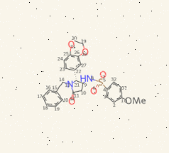 COc1ccc(S(=O)(=O)N[C@H]2CC(=O)N(Cc3ccccc3)[C@@H]2c2ccc3c(c2)OCCO3)cc1